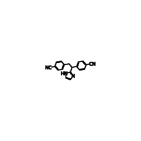 N#Cc1ccc(CC(c2ccc(C#N)cc2)c2ncc[nH]2)cc1